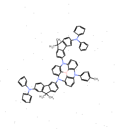 Cc1ccc(N2c3cccc4c3B3c5c2cccc5N(c2ccc5c(c2)-c2ccc(N(c6ccccc6)c6ccccc6)cc2C5(C)C)c2cccc(c23)N4c2ccc3c(c2)-c2cc(N(c4ccccc4)c4ccccc4)ccc2C3(C)C)cc1